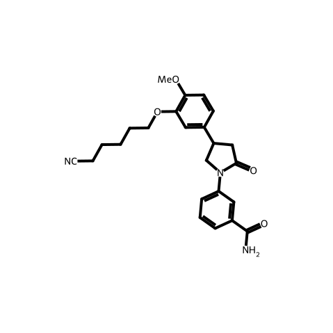 COc1ccc(C2CC(=O)N(c3cccc(C(N)=O)c3)C2)cc1OCCCCCC#N